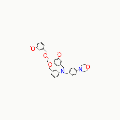 COc1cccc(COCCOCc2cccc(N(Cc3ccc(N4CCOCC4)cc3)Cc3cccc(OC)c3)c2)c1